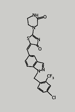 O=C1CN(C2=NC(=O)C(=Cc3ccc4c(cnn4Cc4ccc(Cl)cc4C(F)(F)F)c3)S2)CCN1